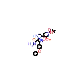 CC(C)(C)OC(=O)N1CC[C@](O)([C@@H]2CCNc3c(C(N)=O)c(-c4ccc(Oc5ccccc5)cc4)nn32)[C@@H](O)C1